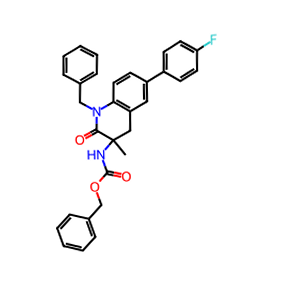 CC1(NC(=O)OCc2ccccc2)Cc2cc(-c3ccc(F)cc3)ccc2N(Cc2ccccc2)C1=O